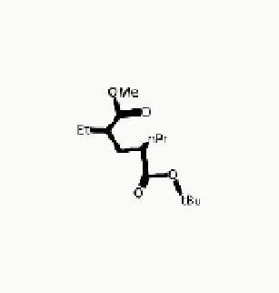 CCCC(CC(CC)C(=O)OC)C(=O)OC(C)(C)C